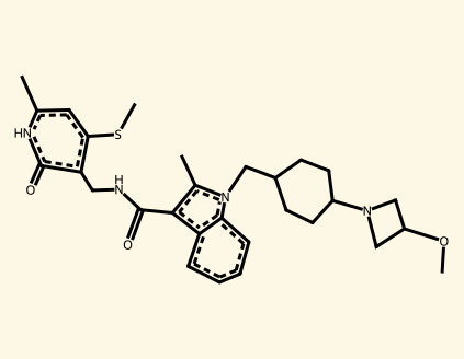 COC1CN(C2CCC(Cn3c(C)c(C(=O)NCc4c(SC)cc(C)[nH]c4=O)c4ccccc43)CC2)C1